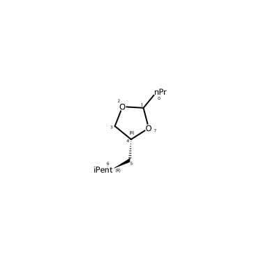 CCCC1OC[C@@H](C[C@H](C)CCC)O1